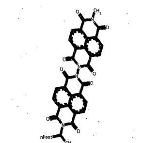 CCCCCC(C)N1C(=O)c2ccc3c4c(ccc(c24)C1=O)C(=O)N(N1C(=O)c2ccc4c5c(ccc(c25)C1=O)C(=O)N(C)C4=O)C3=O